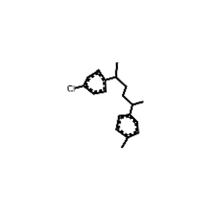 Cc1ccc(C(C)CCC(C)c2ccc(Cl)cc2)cc1